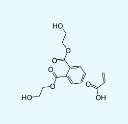 C=CC(=O)O.O=C(OCCO)c1ccccc1C(=O)OCCO